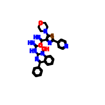 N=C(NC1N=C(c2ccccc2)c2ccccc2N1O)OC(=N)c1nc(-c2ccncc2)sc1N1CCOCC1